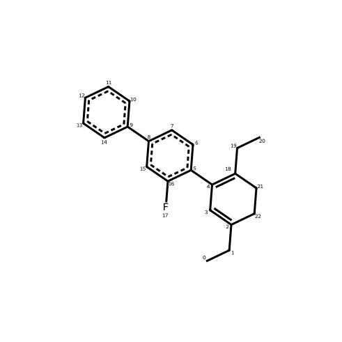 CCC1=CC(c2ccc(-c3ccccc3)cc2F)=C(CC)CC1